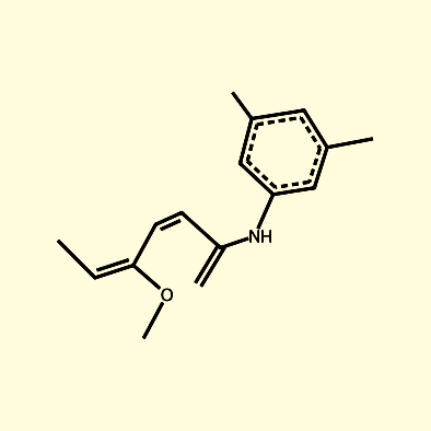 C=C(/C=C\C(=C/C)OC)Nc1cc(C)cc(C)c1